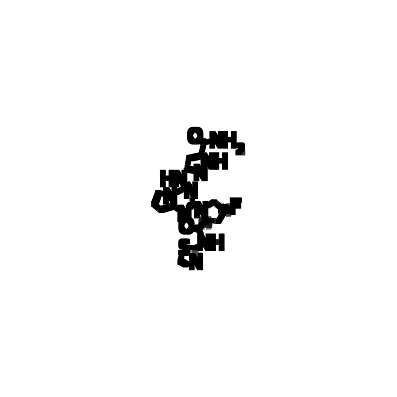 NC(=O)c1cc(Nc2nc(N3C[C@H](F)C[C@H]3C(=O)Nc3nccs3)nc3cccn23)n[nH]1